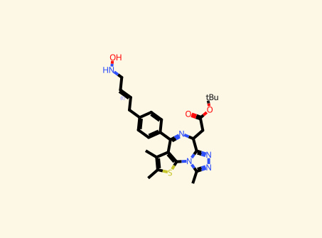 Cc1sc2c(c1C)C(c1ccc(C/C=C/CNO)cc1)=NC(CC(=O)OC(C)(C)C)c1nnc(C)n1-2